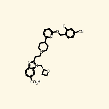 N#Cc1ccc(COc2cccc(C3CCN(CCc4nc5ccc(C(=O)O)cc5n4C[C@@H]4CCO4)CC3)n2)c(F)c1